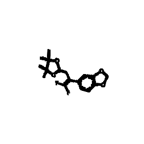 CC1(C)OB(CC(=C(F)F)c2ccc3c(c2)OCO3)OC1(C)C